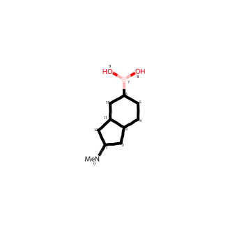 CNC1CC2CCC(B(O)O)CC2C1